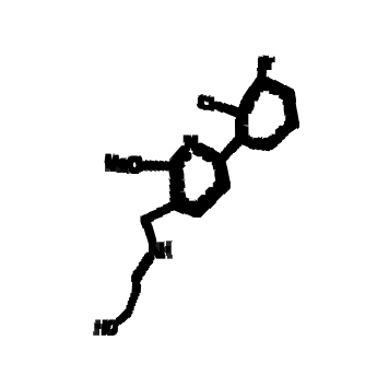 COc1nc(-c2cccc(Br)c2Cl)ccc1CNCCO